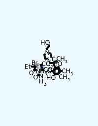 CCC(Br)(CC)C(=O)NC(N)=O.Cc1c(C)c2c(c(C)c1O)C(CN1CCN(CCO)CC1)C(C)(C)O2.O=C(O)/C=C\C(=O)O